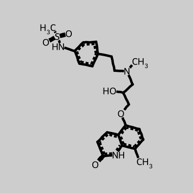 Cc1ccc(OCC(O)CN(C)CCc2ccc(NS(C)(=O)=O)cc2)c2ccc(=O)[nH]c12